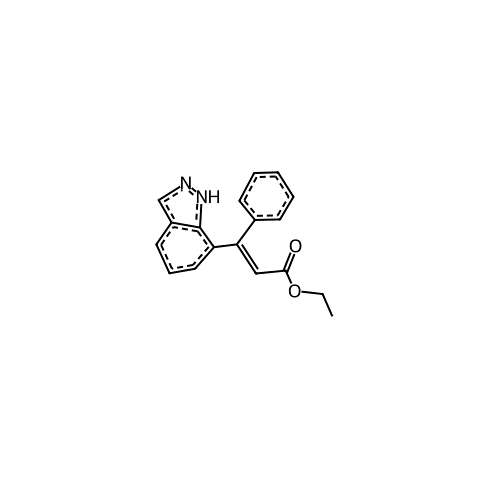 CCOC(=O)/C=C(\c1ccccc1)c1cccc2cn[nH]c12